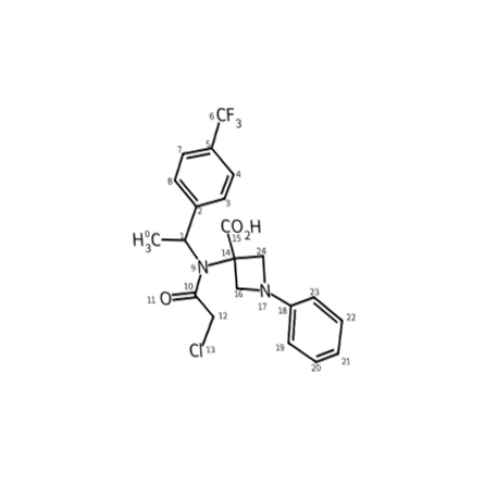 CC(c1ccc(C(F)(F)F)cc1)N(C(=O)CCl)C1(C(=O)O)CN(c2ccccc2)C1